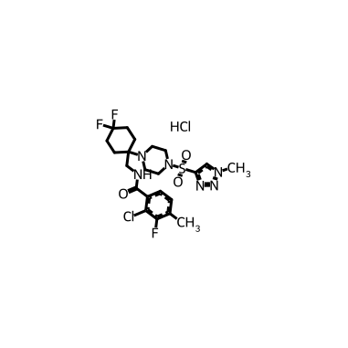 Cc1ccc(C(=O)NCC2(N3CCN(S(=O)(=O)c4cn(C)nn4)CC3)CCC(F)(F)CC2)c(Cl)c1F.Cl